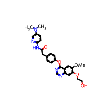 COc1cc2c(Oc3ccc(CC(=O)Nc4ccc(N(C)C)cn4)cc3)ncnc2cc1OCCO